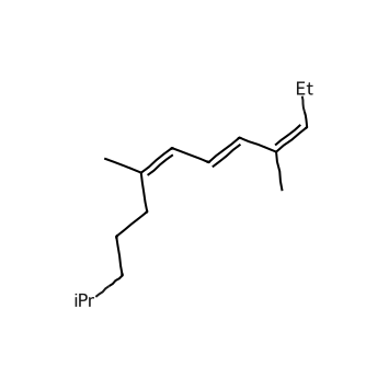 [CH2]CC=C(C)C=CC=C(C)CCCC(C)C